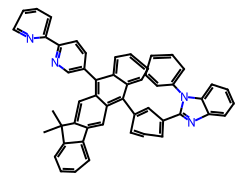 CC1(C)c2ccccc2-c2cc3c(-c4cccc(-c5nc6ccccc6n5-c5ccccc5)c4)c4ccccc4c(-c4ccc(-c5ccccn5)nc4)c3cc21